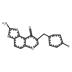 Nc1nc2ccc3occ(Cc4ccc(F)cc4)c(=O)c3c2s1